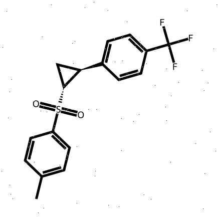 Cc1ccc(S(=O)(=O)[C@@H]2C[C@H]2c2ccc(C(F)(F)F)cc2)cc1